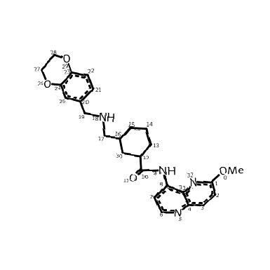 COc1ccc2nccc(NC(=O)C3CCCC(CNCc4ccc5c(c4)OCCO5)C3)c2n1